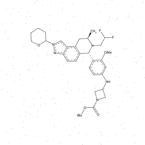 COc1cc(NC2CN(C(=O)OC(C)(C)C)C2)ccc1[C@@H]1c2ccc3nn(C4CCCCO4)cc3c2C[C@@H](C)N1CC(F)F